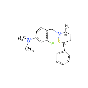 CC[C@H]1CC[C@@H](c2ccccc2)SN1Cc1ccc(N(C)C)cc1F